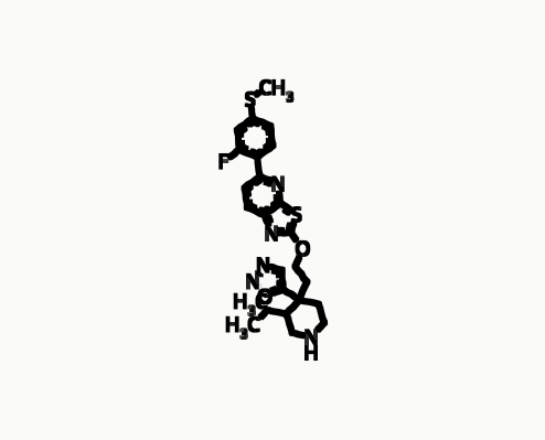 CSc1ccc(-c2ccc3nc(OCCC4(c5cnno5)CCNCC4C(C)C)sc3n2)c(F)c1